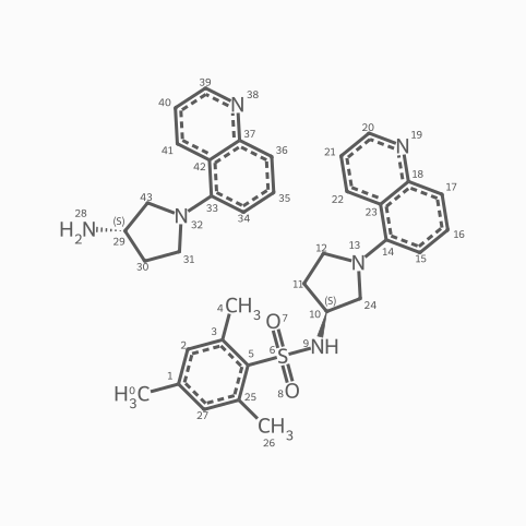 Cc1cc(C)c(S(=O)(=O)N[C@H]2CCN(c3cccc4ncccc34)C2)c(C)c1.N[C@H]1CCN(c2cccc3ncccc23)C1